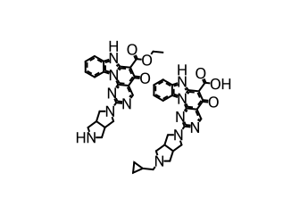 CCOC(=O)c1c(=O)c2cnc(N3CC4CNCC4C3)nc2n2c1[nH]c1ccccc12.O=C(O)c1c(=O)c2cnc(N3CC4CN(CC5CC5)CC4C3)nc2n2c1[nH]c1ccccc12